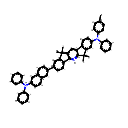 Cc1ccc(N(c2ccccc2)c2ccc3c(c2)C(C)(C)c2nc4c(cc2-3)C(C)(C)c2cc(-c3ccc5cc(N(c6ccccc6)c6ccccc6)ccc5c3)ccc2-4)cc1